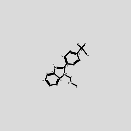 COCn1c(-c2ccc(C(C)(C)C)cc2)nc2ccccc21